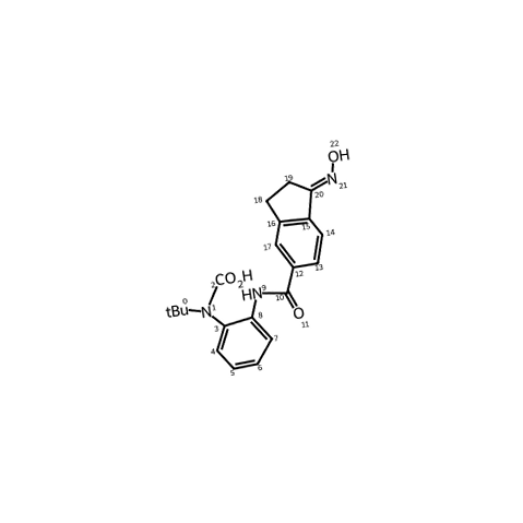 CC(C)(C)N(C(=O)O)c1ccccc1NC(=O)c1ccc2c(c1)CCC2=NO